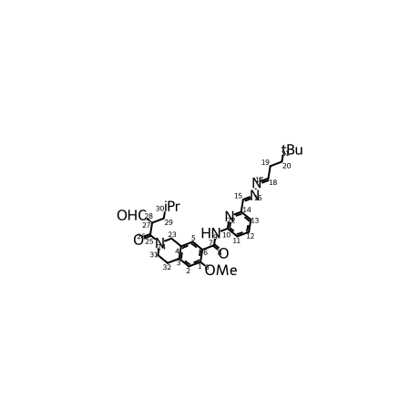 COc1cc2c(cc1C(=O)Nc1cccc(/C=N/N=C/CCC(C)(C)C)n1)CN(C(=O)[C@@H](C=O)CC(C)C)CC2